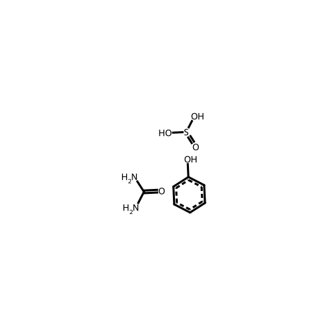 NC(N)=O.O=S(O)O.Oc1ccccc1